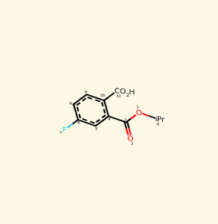 CC(C)OC(=O)c1cc(F)ccc1C(=O)O